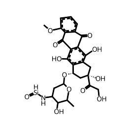 COc1cccc2c1C(=O)c1c(O)c3c(c(O)c1C2=O)C[C@@](O)(C(=O)CO)C[C@@H]3OC1CC(N[SiH]=O)C(O)C(C)O1